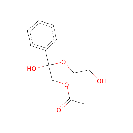 CC(=O)OCC(O)(OCCO)c1ccccc1